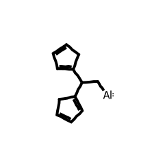 [Al][CH2]C(C1=CC=CC1)C1=CC=CC1